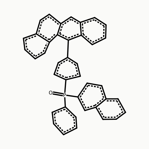 O=P(c1ccccc1)(c1ccc(-c2c3ccccc3cc3ccc4ccccc4c23)cc1)c1ccc2ccccc2c1